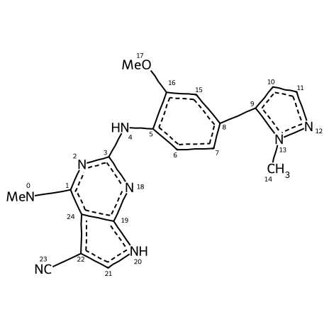 CNc1nc(Nc2ccc(-c3ccnn3C)cc2OC)nc2[nH]cc(C#N)c12